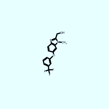 Cn1c(CO)nc2ccc(Oc3cccc(C(F)(F)F)c3)cc21